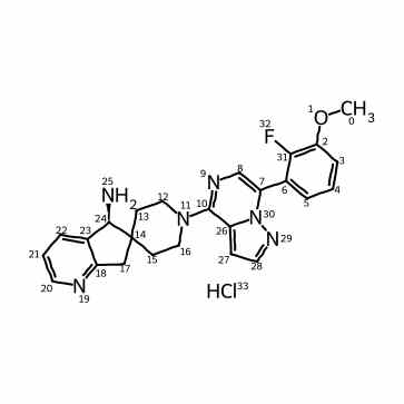 COc1cccc(-c2cnc(N3CCC4(CC3)Cc3ncccc3[C@H]4N)c3ccnn23)c1F.Cl